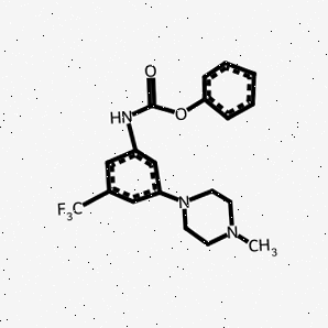 CN1CCN(c2cc(NC(=O)Oc3ccccc3)cc(C(F)(F)F)c2)CC1